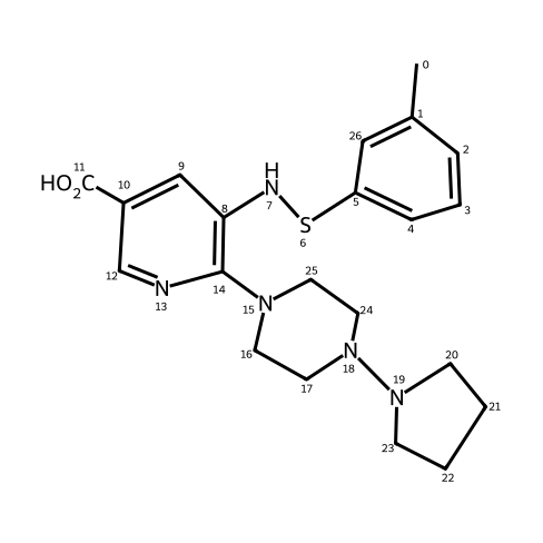 Cc1cccc(SNc2cc(C(=O)O)cnc2N2CCN(N3CCCC3)CC2)c1